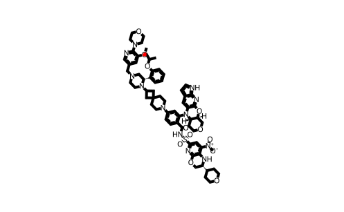 COc1cc(CN2CCN(C3CC4(CCN(c5ccc(C(=O)NS(=O)(=O)c6cc([N+](=O)[O-])c7c(n6)OC[C@@H](C6CCOCC6)N7)c(N6c7cc8cc[nH]c8nc7O[C@H]7COCC[C@@H]76)c5)CC4)C3)[C@@H](c3ccccc3OC(C)C)C2)cnc1N1CCOCC1